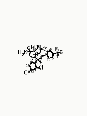 CC(C)(N)CN(C(=O)C1(c2ccc(Cl)cc2Cl)CC1)[C@@H](Cc1ccc(C(F)(F)F)cc1)C(N)=O